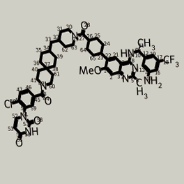 COc1cc2nc(C)nc(N[C@H](C)c3cc(N)cc(C(F)(F)F)c3)c2cc1C1CCC(C(=O)N2CCC(CC3CCC4(CC3)CCN(C(=O)c3ccc(Cl)c(-n5ccc(=O)[nH]c5=O)c3)CC4)CC2)CC1